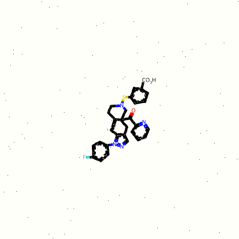 O=C(O)c1cccc(SN2CCC3=Cc4c(cnn4-c4ccc(F)cc4)CC3(C(=O)c3ccccn3)C2)c1